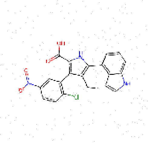 CCc1c(-c2cccc3[nH]ccc23)[nH]c(C(=O)O)c1-c1cc([N+](=O)[O-])ccc1Cl